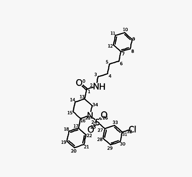 O=C(NCCCCc1ccccc1)C1CCC(c2ccccc2)N(S(=O)(=O)c2cccc(Cl)c2)C1